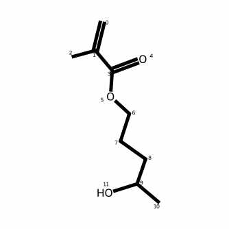 C=C(C)C(=O)OCC[CH]C(C)O